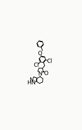 O=C1C(Cc2c(Cl)cc(OCc3ccccc3)cc2Cl)CCN1C1CCCc2[nH]ncc21